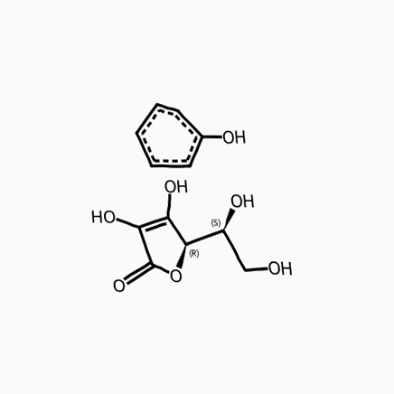 O=C1O[C@H]([C@@H](O)CO)C(O)=C1O.Oc1ccccc1